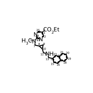 CCOC(=O)c1cnc(N(C)CC2CC2CNCc2ccc3ccccc3c2)nc1